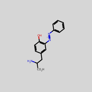 NC(Cc1ccc(O)c(/N=N/c2ccccc2)c1)C(=O)O